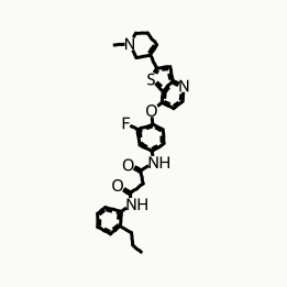 CCCc1ccccc1NC(=O)CC(=O)Nc1ccc(Oc2ccnc3cc(C4=CCCN(C)C4)sc23)c(F)c1